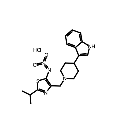 CC(C)c1nc(CN2CCC(c3c[nH]c4ccccc34)CC2)c(N=S(=O)=O)s1.Cl